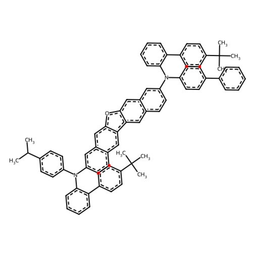 CC(C)c1ccc(N(c2ccc3cc4c(cc3c2)oc2cc3cc(N(c5ccc(-c6ccccc6)cc5)c5ccccc5-c5ccc(C(C)(C)C)cc5)ccc3cc24)c2ccccc2-c2ccc(C(C)(C)C)cc2)cc1